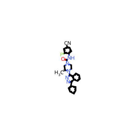 C[C@H]1CN(C(=O)Nc2ccc(C#N)cc2F)CCN1c1nnc(-c2ccccc2)c2ccccc12